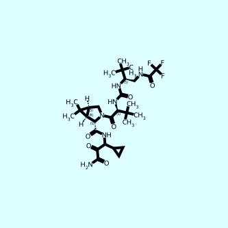 CC(C)(C)[C@H](NC(=O)N[C@H](CNC(=O)C(F)(F)F)C(C)(C)C)C(=O)N1C[C@H]2[C@@H]([C@H]1C(=O)NC(C(=O)C(N)=O)C1CC1)C2(C)C